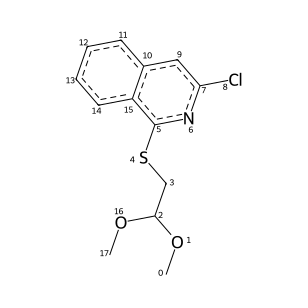 COC(CSc1nc(Cl)cc2ccccc12)OC